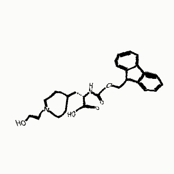 O=C(N[C@@H](CC1CCN(CCO)CC1)C(=O)O)OCC1c2ccccc2-c2ccccc21